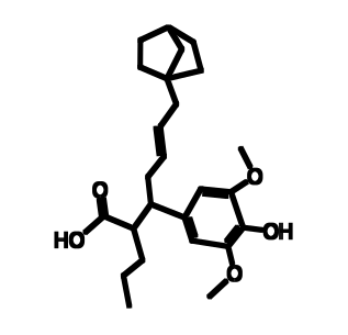 CCCC(C(=O)O)C(CC=CCC12CCC(CC1)C2)c1cc(OC)c(O)c(OC)c1